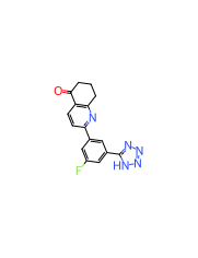 O=C1CCCc2nc(-c3cc(F)cc(-c4nnn[nH]4)c3)ccc21